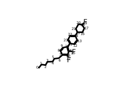 CCCCCCCc1ccc(-c2ccc(C3CCC(F)CC3)cc2)c(F)c1F